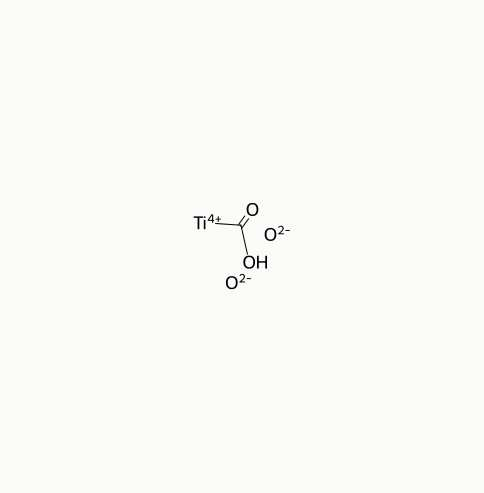 O=[C](O)[Ti+4].[O-2].[O-2]